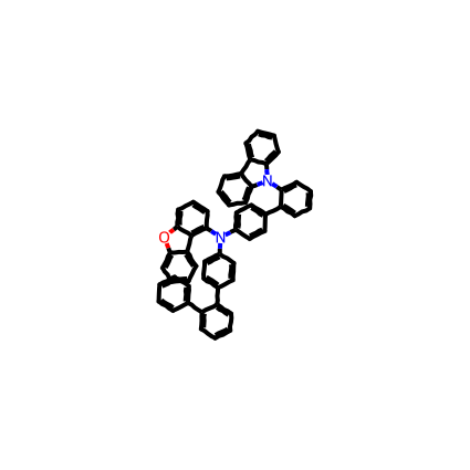 c1ccc(-c2ccccc2-c2ccc(N(c3ccc(-c4ccccc4-n4c5ccccc5c5ccccc54)cc3)c3cccc4oc5ccccc5c34)cc2)cc1